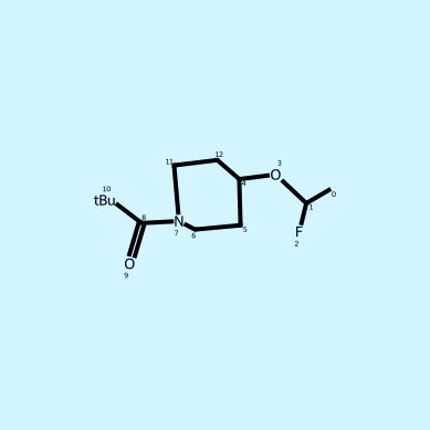 CC(F)OC1CCN(C(=O)C(C)(C)C)CC1